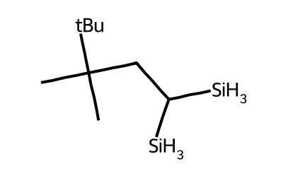 CC(C)(C)C(C)(C)CC([SiH3])[SiH3]